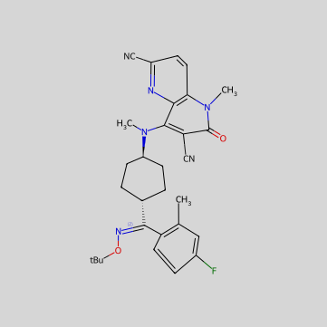 Cc1cc(F)ccc1/C(=N\OC(C)(C)C)[C@H]1CC[C@H](N(C)c2c(C#N)c(=O)n(C)c3ccc(C#N)nc23)CC1